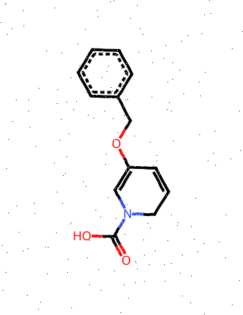 O=C(O)N1C=C(OCc2ccccc2)C=CC1